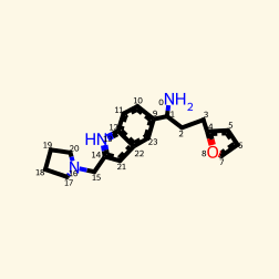 NC(CCc1ccco1)c1ccc2[nH]c(CN3CCCC3)cc2c1